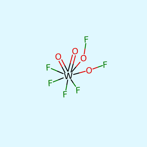 [O]=[W](=[O])([F])([F])([F])([F])([O]F)[O]F